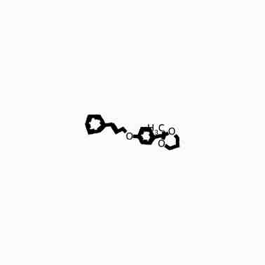 CC1(c2ccc(OCC=Cc3ccccc3)cc2)OCCCO1